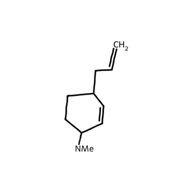 C=CCC1C=CC(NC)CC1